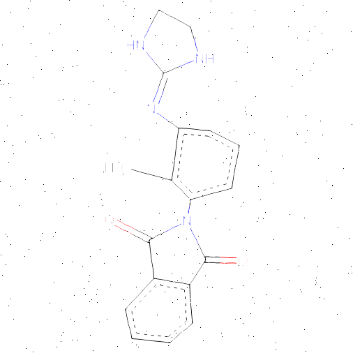 Cc1c(N=C2NCCN2)cccc1N1C(=O)c2ccccc2C1=O